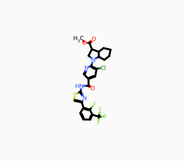 COC(=O)C1CN(c2ncc(C(=O)Nc3nc(-c4cccc(C(F)(F)F)c4F)cs3)cc2Cl)C2CCCCC12